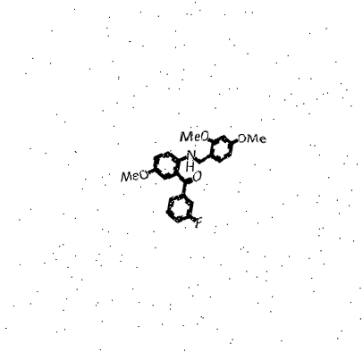 COc1ccc(CNc2ccc(OC)cc2C(=O)c2cccc(F)c2)c(OC)c1